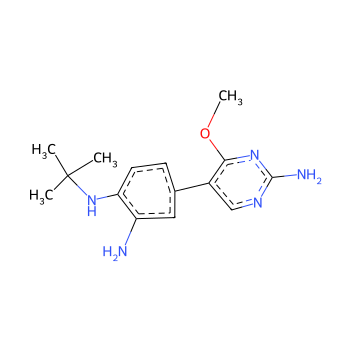 COc1nc(N)ncc1-c1ccc(NC(C)(C)C)c(N)c1